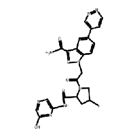 NC(=O)c1nn(CC(=O)N2CC(F)CC2C(=O)Nc2cncc(O)n2)c2ccc(-c3ccnnc3)cc12